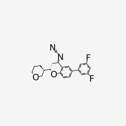 N#C/N=C1\C[C@@H]([C@@H]2CCCOC2)Oc2ccc(-c3cc(F)cc(F)c3)cc21